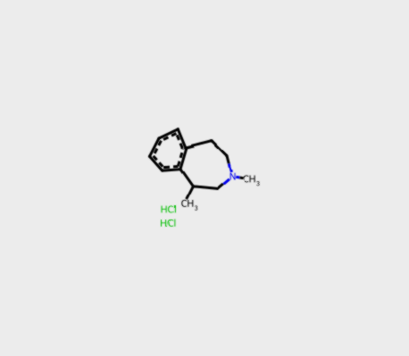 CC1CN(C)CCc2ccccc21.Cl.Cl